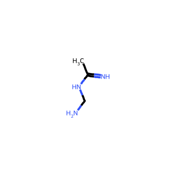 CC(=N)NCN